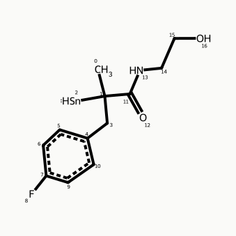 C[C]([SnH])(Cc1ccc(F)cc1)C(=O)NCCO